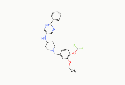 CCOc1cc(CN2CCC(Nc3cnc(-c4ccccc4)nc3)CC2)ccc1OC(F)F